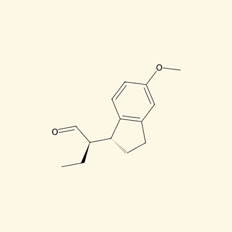 CC[C@@H](C=O)[C@H]1CCc2cc(OC)ccc21